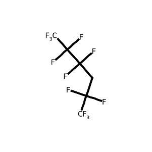 FC(F)(F)C(F)(F)CC(F)(F)C(F)(F)C(F)(F)F